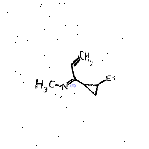 C=C/C(=N\C)C1CC1CC